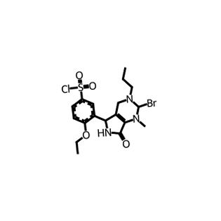 CCCN1CC2=C(C(=O)NC2c2cc(S(=O)(=O)Cl)ccc2OCC)N(C)C1Br